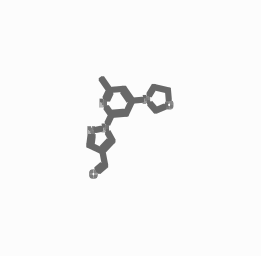 Cc1cc(N2CCOC2)cc(-n2cc(C=O)cn2)n1